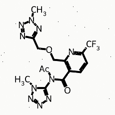 CC(=O)N(C(=O)c1ccc(C(F)(F)F)nc1COCc1nnn(C)n1)c1nnnn1C